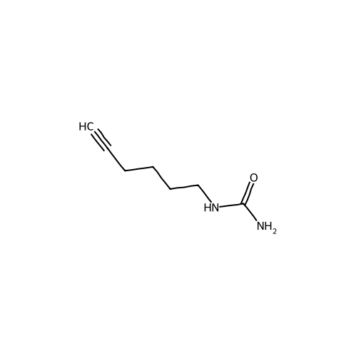 C#CCCCCNC(N)=O